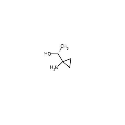 BC1([C@@H](C)O)CC1